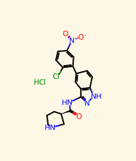 Cl.O=C(Nc1n[nH]c2ccc(-c3cc([N+](=O)[O-])ccc3Cl)cc12)[C@@H]1CCCNC1